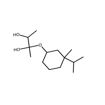 CC(C)C1(C)CCCC(OC(C)(O)C(C)O)C1